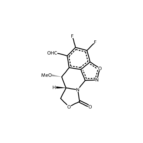 CO[C@@H]1c2c(C=O)c(F)c(F)c3onc(c23)N2C(=O)OC[C@H]12